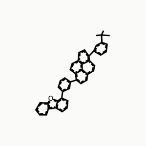 CC(C)(C)c1cccc(-c2ccc3ccc4c(-c5cccc(-c6cccc7c6oc6ccccc67)c5)ccc5ccc2c3c54)c1